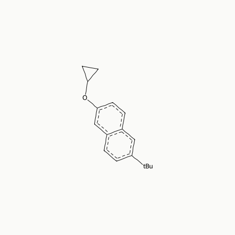 CC(C)(C)c1ccc2cc(OC3CC3)ccc2c1